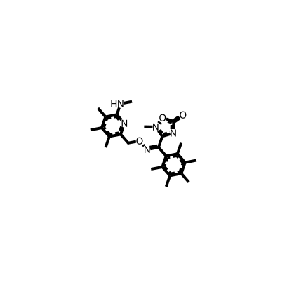 CNc1nc(CON=C(c2c(C)c(C)c(C)c(C)c2C)c2nc(=O)on2C)c(C)c(C)c1C